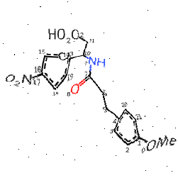 COc1ccc(CCC(=O)NC(CC(=O)O)c2ccc([N+](=O)[O-])cc2)cc1